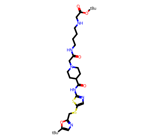 CC(C)(C)OC(=O)CNCCCCNC(=O)CN1CCC(C(=O)Nc2ncc(SCc3ncc(C(C)(C)C)o3)s2)CC1